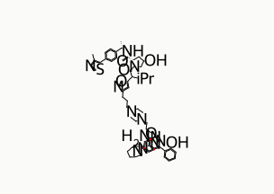 Cc1ncsc1-c1ccc([C@H](C)NC(=O)[C@@H]2C[C@@H](O)CN2C(=O)C(c2cc(CCCN3CCN(CCOc4cc(N5C6CCC5CN(c5cc(-c7ccccc7O)nnc5N)C6)ccn4)CC3)no2)C(C)C)cc1